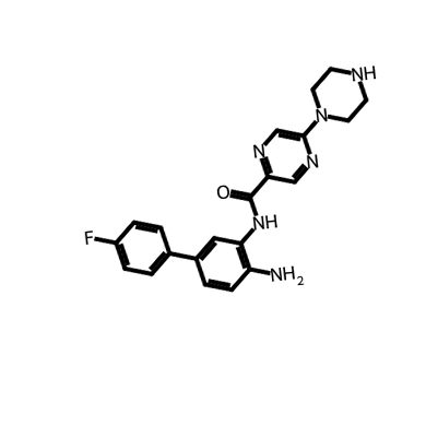 Nc1ccc(-c2ccc(F)cc2)cc1NC(=O)c1cnc(N2CCNCC2)cn1